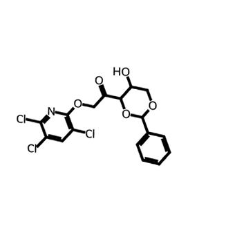 O=C(COc1nc(Cl)c(Cl)cc1Cl)C1OC(c2ccccc2)OCC1O